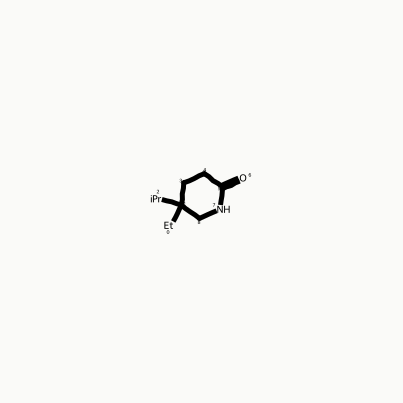 CCC1(C(C)C)CCC(=O)NC1